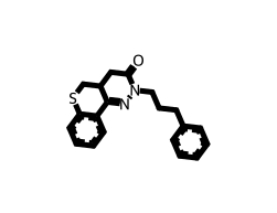 O=C1CC2CSc3ccccc3C2=NN1CCCc1ccccc1